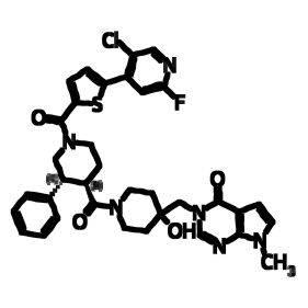 Cn1ccc2c(=O)n(CC3(O)CCN(C(=O)[C@@H]4CCN(C(=O)c5ccc(-c6cc(F)ncc6Cl)s5)C[C@H]4c4ccccc4)CC3)cnc21